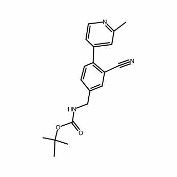 Cc1cc(-c2ccc(CNC(=O)OC(C)(C)C)cc2C#N)ccn1